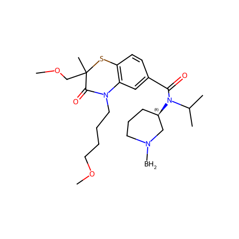 BN1CCC[C@@H](N(C(=O)c2ccc3c(c2)N(CCCCOC)C(=O)C(C)(COC)S3)C(C)C)C1